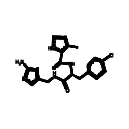 Cc1cc[nH]c1C(=O)N[C@@H](Cc1ccc(Cl)cc1)C(=O)NCc1cnc(N)s1